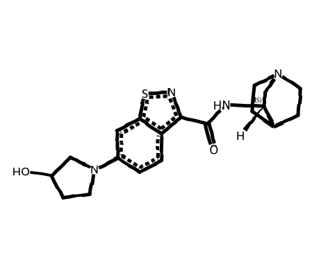 O=C(N[C@@H]1CN2CCC1CC2)c1nsc2cc(N3CCC(O)C3)ccc12